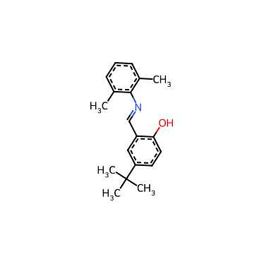 Cc1cccc(C)c1N=Cc1cc(C(C)(C)C)ccc1O